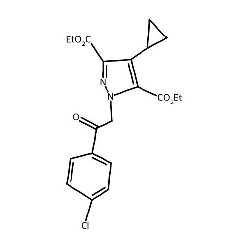 CCOC(=O)c1nn(CC(=O)c2ccc(Cl)cc2)c(C(=O)OCC)c1C1CC1